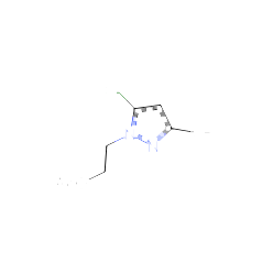 CC(=O)OCCn1nc(C(F)(F)F)cc1Cl